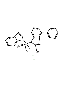 CC1=Cc2c(-c3ccccc3)cccc2[CH]1[Zr]([CH3])([CH3])(=[SiH2])[CH]1C=Cc2ccccc21.Cl.Cl